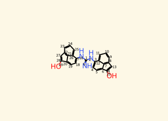 N=C(Nc1ccc2c3c(cccc13)C=C2O)Nc1ccc2c3c(cccc13)C=C2O